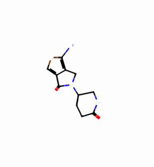 Nc1scc2c1CN(C1CCC(=O)NC1)C2=O